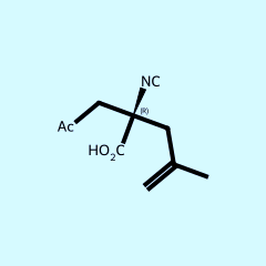 [C-]#[N+][C@](CC(=C)C)(CC(C)=O)C(=O)O